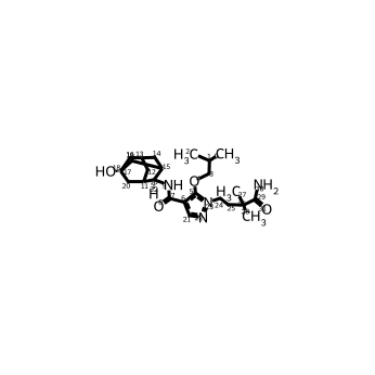 CC(C)COc1c(C(=O)N[C@H]2C3CC4CC2C[C@](O)(C4)C3)cnn1CCC(C)(C)C(N)=O